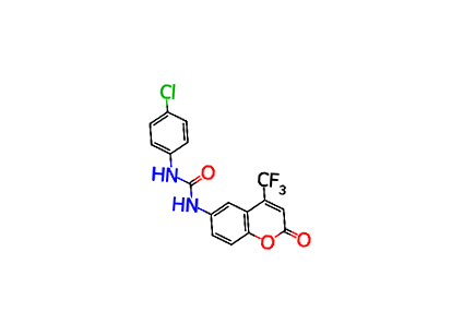 O=C(Nc1ccc(Cl)cc1)Nc1ccc2oc(=O)cc(C(F)(F)F)c2c1